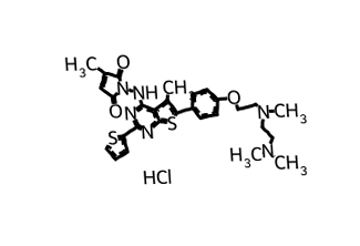 CC1=CC(=O)N(Nc2nc(-c3cccs3)nc3sc(-c4ccc(OCCN(C)CCN(C)C)cc4)c(C)c23)C1=O.Cl